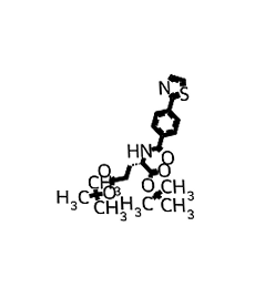 CC(C)(C)OC(=O)CC[C@H](NC(=O)c1ccc(-c2nccs2)cc1)C(=O)OC(C)(C)C